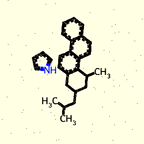 CC(C)CC1Cc2ccc3c(ccc4ccccc43)c2C(C)C1.c1cc[nH]c1